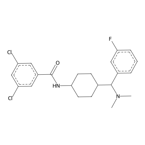 CN(C)C(c1cccc(F)c1)C1CCC(NC(=O)c2cc(Cl)cc(Cl)c2)CC1